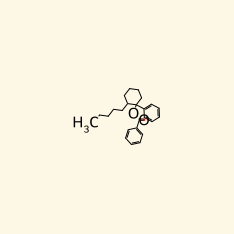 CCCCCC1CCCCC1(OC(=O)c1ccccc1)c1ccccc1